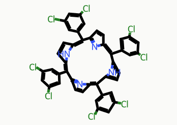 Clc1cc(Cl)cc(-c2c3nc(c(-c4cc(Cl)cc(Cl)c4)c4ccc([nH]4)c(-c4cc(Cl)cc(Cl)c4)c4nc(c(-c5cc(Cl)cc(Cl)c5)c5ccc2[nH]5)C=C4)C=C3)c1